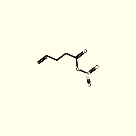 C=CCCC(=O)O[SH](=O)=O